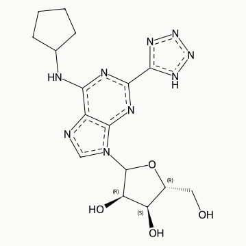 OC[C@H]1OC(n2cnc3c(NC4CCCC4)nc(-c4nnn[nH]4)nc32)[C@H](O)[C@@H]1O